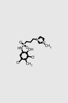 Cc1c(Cl)cc(NS(=O)(=O)CCCn2cc[n+](C)c2)c(O)c1Cl